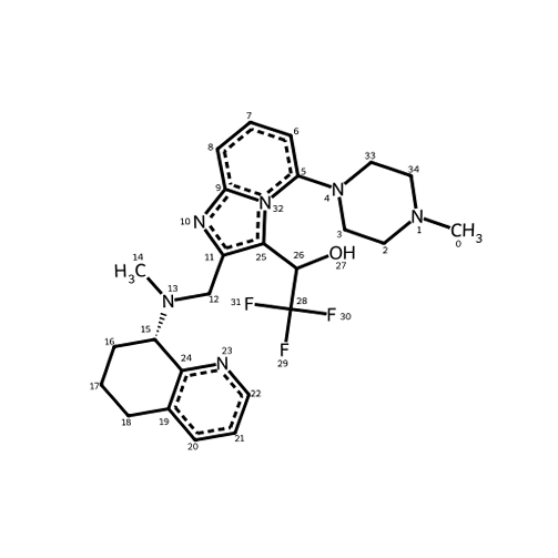 CN1CCN(c2cccc3nc(CN(C)[C@H]4CCCc5cccnc54)c(C(O)C(F)(F)F)n23)CC1